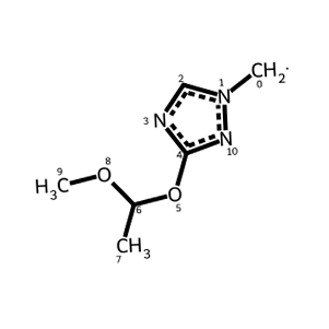 [CH2]n1cnc(OC(C)OC)n1